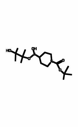 CC(C)(C)OC(=O)N1CCC(B(O)OC(C)(C)C(C)(C)O)CC1